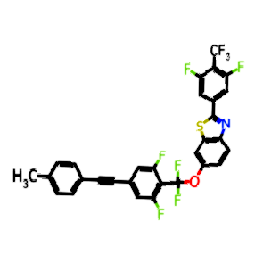 Cc1ccc(C#Cc2cc(F)c(C(F)(F)Oc3ccc4nc(-c5cc(F)c(C(F)(F)F)c(F)c5)sc4c3)c(F)c2)cc1